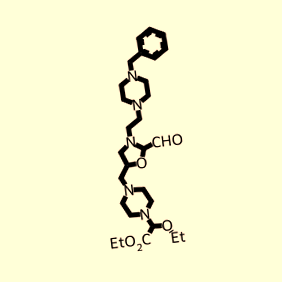 CCOC(=O)C(OCC)N1CCN(CC2CN(CCN3CCN(Cc4ccccc4)CC3)C(C=O)O2)CC1